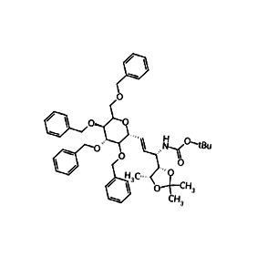 C[C@H]1OC(C)(C)O[C@H]1[C@H](/C=C/[C@H]1OC(COCc2ccccc2)[C@H](OCc2ccccc2)[C@@H](OCc2ccccc2)C1OCc1ccccc1)NC(=O)OC(C)(C)C